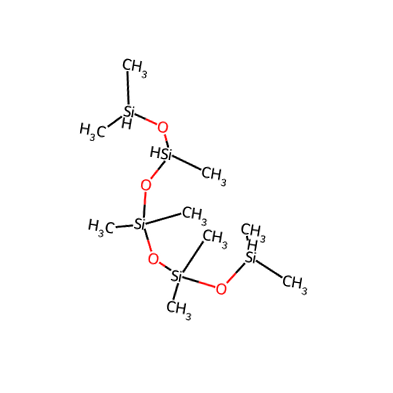 C[SiH](C)O[SiH](C)O[Si](C)(C)O[Si](C)(C)O[SiH](C)C